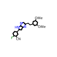 COc1cc(CCc2cnc3[nH]c(-c4ccc(F)c(C#N)c4)cc3n2)cc(OC)c1